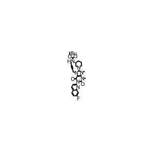 CC#CCN1c2c(n(C)c(=O)n(-c3ccc4ccc(F)cc4n3)c2=O)N(C)C1N1CCC[C@@H](NC(=O)OC(C)(C)C)C1